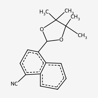 CC1(C)OC(c2ccc(C#N)c3ccccc23)OC1(C)C